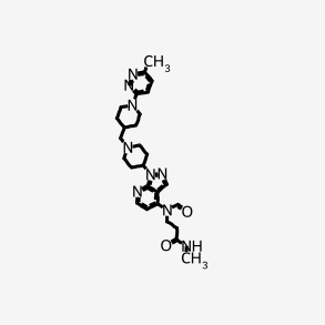 CNC(=O)CCN(C=O)c1ccnc2c1cnn2C1CCN(CC2CCN(c3ccc(C)nn3)CC2)CC1